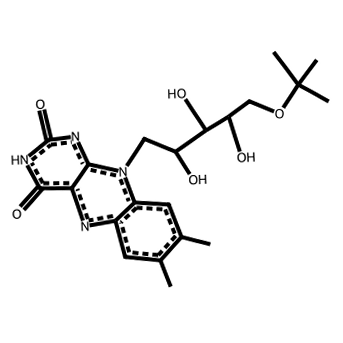 Cc1cc2nc3c(=O)[nH]c(=O)nc-3n(CC(O)C(O)C(O)COC(C)(C)C)c2cc1C